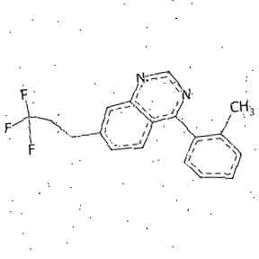 Cc1ccccc1-c1ncnc2cc(CCC(F)(F)F)ccc12